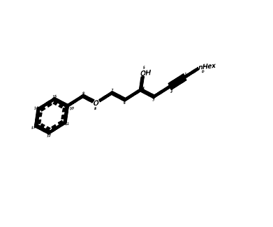 CCCCCCC#CCC(O)CCOCc1ccccc1